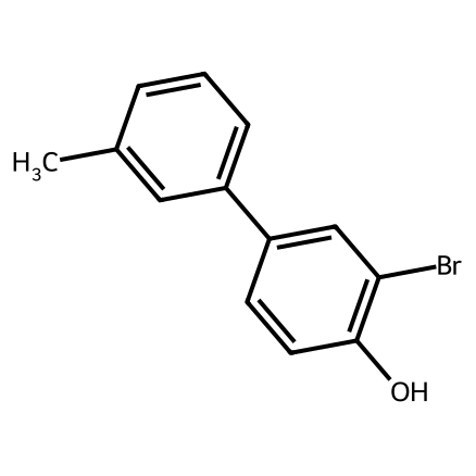 Cc1cccc(-c2ccc(O)c(Br)c2)c1